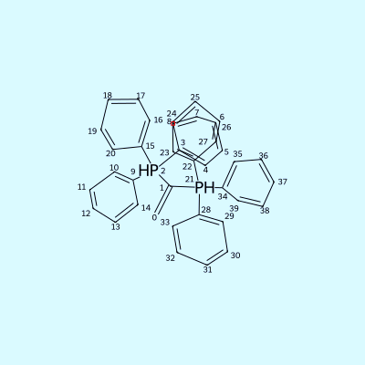 C=C([PH](c1ccccc1)(c1ccccc1)c1ccccc1)[PH](c1ccccc1)(c1ccccc1)c1ccccc1